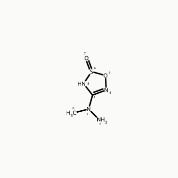 CN(N)C1=NOS(=O)N1